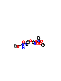 CCOCCCNC(=O)n1ccc2cc(Oc3ccnc(OC(=O)N(C(=O)Oc4ccccc4)c4ccccc4)c3)ccc21